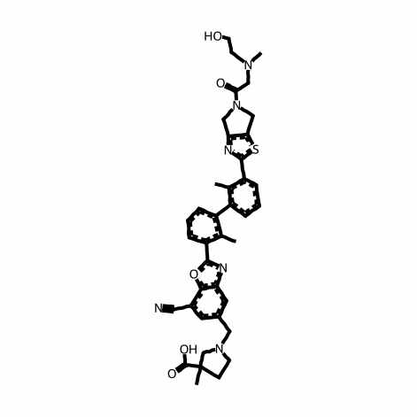 Cc1c(-c2nc3cc(CN4CCC(C)(C(=O)O)C4)cc(C#N)c3o2)cccc1-c1cccc(-c2nc3c(s2)CN(C(=O)CN(C)CCO)C3)c1C